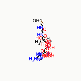 CC(C)(COP(=O)(O)OP(=O)(O)OC[C@H]1O[C@@H](n2cnc3c(N)ncnc32)[C@H](O)[C@@H]1OP(=O)(O)O)C(O)C(=O)NCCC(=O)NCCSC=O